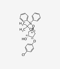 CC(C)(C)[Si](O[C@@H]1C[C@@H](O)[C@@H](Oc2ccc(Cl)cc2)C1)(c1ccccc1)c1ccccc1